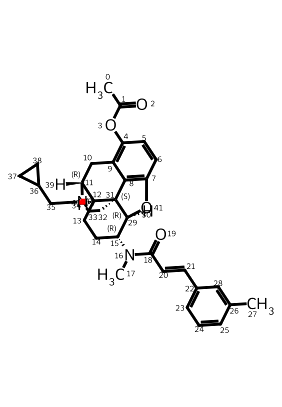 CC(=O)Oc1ccc2c3c1C[C@@H]1[C@@H]4CC[C@@H](N(C)C(=O)C=Cc5cccc(C)c5)[C@H](O2)[C@]34CCN1CC1CC1